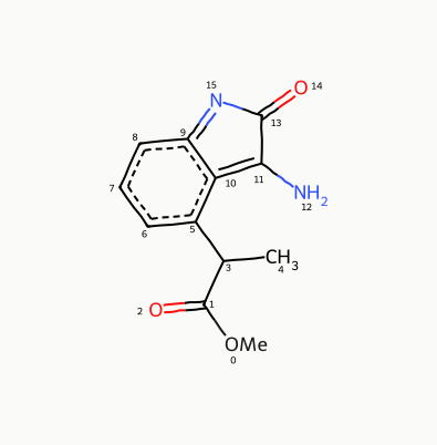 COC(=O)C(C)c1cccc2c1=C(N)C(=O)N=2